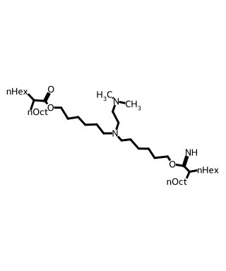 CCCCCCCCC(CCCCCC)C(=N)OCCCCCCN(CCCCCCOC(=O)C(CCCCCC)CCCCCCCC)CCN(C)C